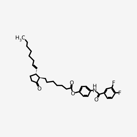 CCCCCC/C=C/[C@H]1CCC(=O)[C@@H]1CCCCCCC(=O)Oc1ccc(NC(=O)c2ccc(F)c(F)c2)cc1